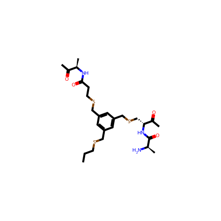 CCCSCc1cc(CSCCC(=O)N[C@H](C)C(C)=O)cc(CSC[C@@H](NC(=O)[C@@H](C)N)C(C)=O)c1